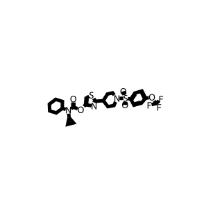 O=C(Oc1csc(C2CCN(S(=O)(=O)c3ccc(OC(F)(F)F)cc3)CC2)n1)N(C1CCCCC1)C1CC1